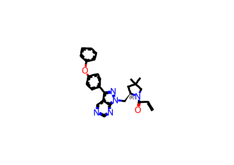 C=CC(=O)N1CC(C)(C)C[C@@H]1Cn1nc(-c2ccc(Oc3ccccc3)cc2)c2cncnc21